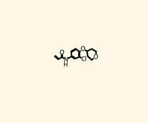 C=CC(=O)Nc1ccc(OC2CCOCC2)c(Cl)c1